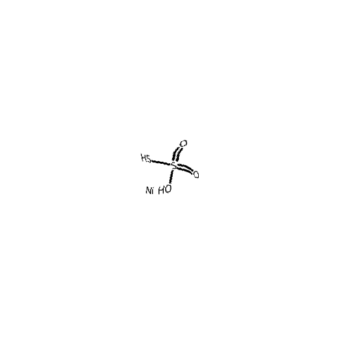 O=S(=O)(O)S.[Ni]